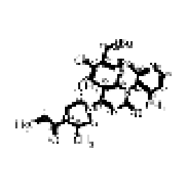 C=CC(=O)N1C[C@H](C)N(c2nc(=O)n(-c3c(C)ccnc3C(C)C)c3nc(CC(C)(C)C)c(Cl)cc23)C[C@H]1C